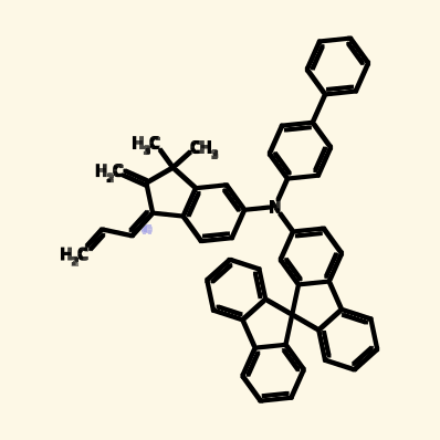 C=C/C=C1\C(=C)C(C)(C)c2cc(N(c3ccc(-c4ccccc4)cc3)c3ccc4c(c3)C3(c5ccccc5-c5ccccc53)c3ccccc3-4)ccc21